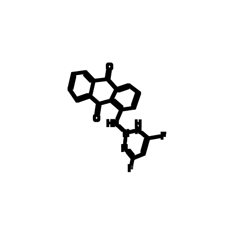 O=C1c2ccccc2C(=O)c2c(NN3N=C(F)C=C(F)N3)cccc21